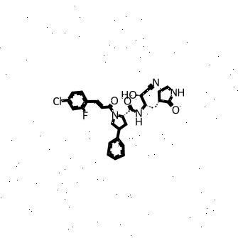 N#C[C@@H](O)[C@H](C[C@@H]1CCNC1=O)NC(=O)[C@@H]1CC(c2ccccc2)CN1C(=O)/C=C/c1ccc(Cl)cc1F